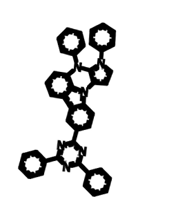 c1ccc(-c2nc(-c3ccccc3)nc(-c3ccc4c(c3)c3cccc5c3n4-c3ccn(-c4ccccc4)c3N5c3ccccc3)n2)cc1